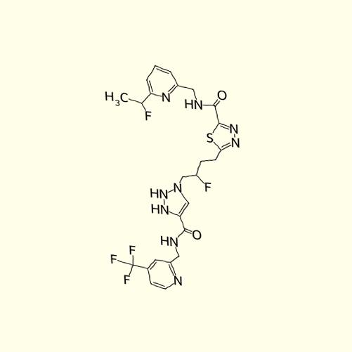 CC(F)c1cccc(CNC(=O)c2nnc(CCC(F)CN3C=C(C(=O)NCc4cc(C(F)(F)F)ccn4)NN3)s2)n1